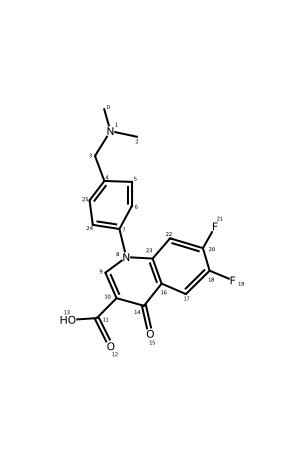 CN(C)Cc1ccc(-n2cc(C(=O)O)c(=O)c3cc(F)c(F)cc32)cc1